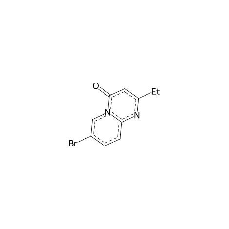 CCc1cc(=O)n2cc(Br)ccc2n1